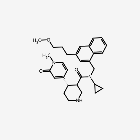 COCCCc1cc(CN(C(=O)C2CNCC[C@@H]2c2ccn(C)c(=O)c2)C2CC2)c2ccccc2c1